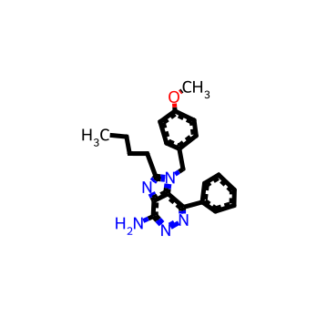 CCCCc1nc2c(N)nnc(-c3ccccc3)c2n1Cc1ccc(OC)cc1